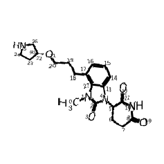 Cn1c(=O)n(C2CCC(=O)NC2=O)c2cccc(CCCO[C@@H]3CCNC3)c21